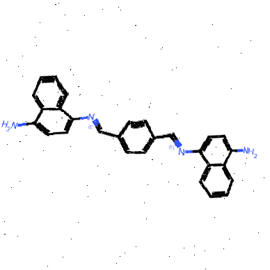 Nc1ccc(/N=C/c2ccc(/C=N/c3ccc(N)c4ccccc34)cc2)c2ccccc12